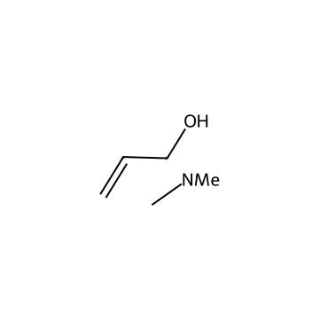 C=CCO.CNC